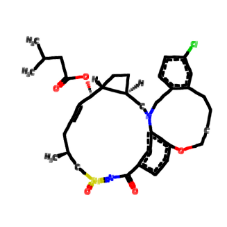 CC(C)CC(=O)O[C@H]1/C=C/C[C@H](C)C/[SH](=O)=N\C(=O)c2ccc3c(c2)N(Cc2ccc(Cl)cc2CCCCO3)C[C@@H]2CC[C@H]21